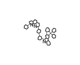 c1ccc(-c2ccc3ccc4ccc(-c5ccc(-c6cccc(-c7nc8ccccc8c8cc9c(cc78)-c7ccccc7C9(c7ccccc7)c7ccccc7)c6)cc5)nc4c3n2)cc1